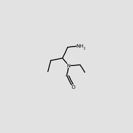 CCC(CN)N([C]=O)CC